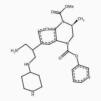 COC(=O)N1c2ccc(C(CN)CNC3CCNCC3)cc2N(C(=O)Oc2cccnc2)C[C@@H]1C